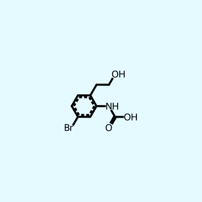 O=C(O)Nc1cc(Br)ccc1CCO